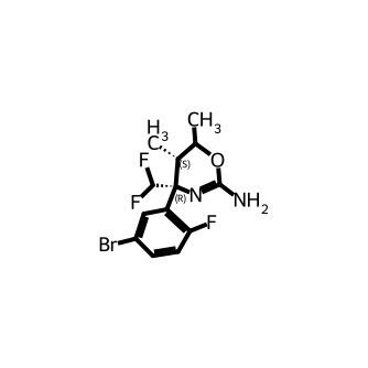 CC1OC(N)=N[C@](c2cc(Br)ccc2F)(C(F)F)[C@@H]1C